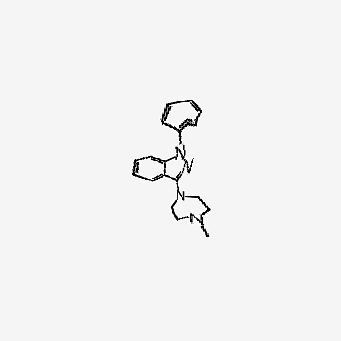 CN1CCN(c2nn(-c3ccccc3)c3ccccc23)CC1